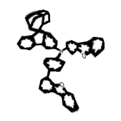 c1ccc2c(c1)-c1cc(N(c3ccc(-c4cccc5c4oc4ccccc45)cc3)c3ccc4c(c3)oc3ccccc34)ccc1C21C2CC3CC(C2)CC1C3